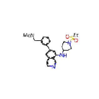 CCS(=O)(=O)N1CCC(Nc2cc(-c3cccc(CNC)c3)cc3ccncc23)CC1